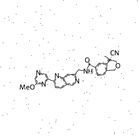 COc1cncc(-c2ccc3cnc(CNC(=O)c4ccc5c(c4)[C@](C)(C#N)COC5)cc3n2)n1